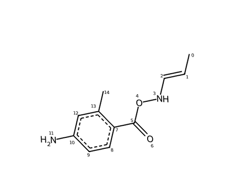 CC=CNOC(=O)c1ccc(N)cc1C